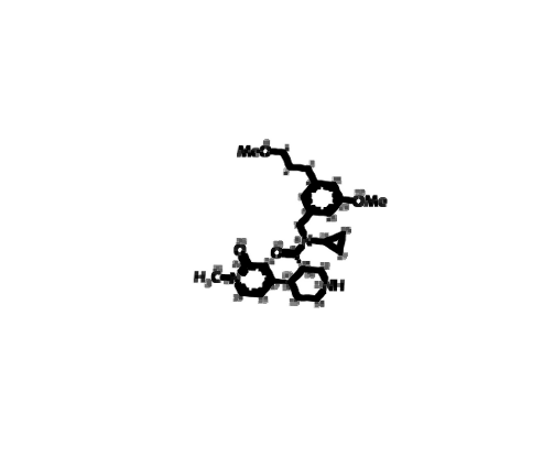 COCCCc1cc(CN(C(=O)[C@@H]2CNCC[C@H]2c2ccn(C)c(=O)c2)C2CC2)cc(OC)c1